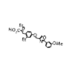 CCO[C@@H](Cc1ccc(OCc2coc(-c3cccc(OC)c3)n2)cc1CC)C(=O)O